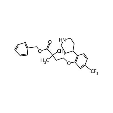 CC(C)(CCOc1cc(C(F)(F)F)ccc1C1CCNCC1)C(=O)OCc1ccccc1